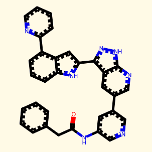 O=C(Cc1ccccc1)Nc1cncc(-c2cnc3[nH]nc(-c4cc5c(-c6ccccn6)cccc5[nH]4)c3c2)c1